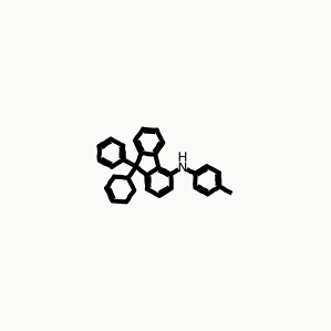 Cc1ccc(Nc2cccc3c2-c2ccccc2C3(c2ccccc2)C2CC=CCC2)cc1